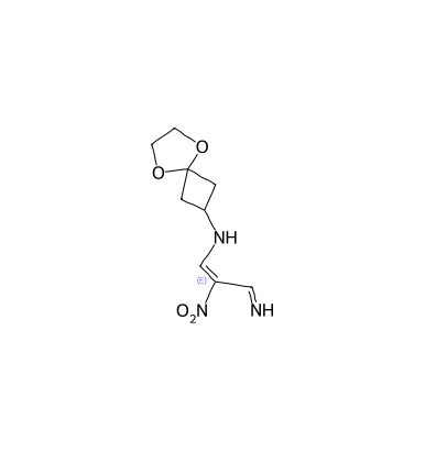 N=C/C(=C\NC1CC2(C1)OCCO2)[N+](=O)[O-]